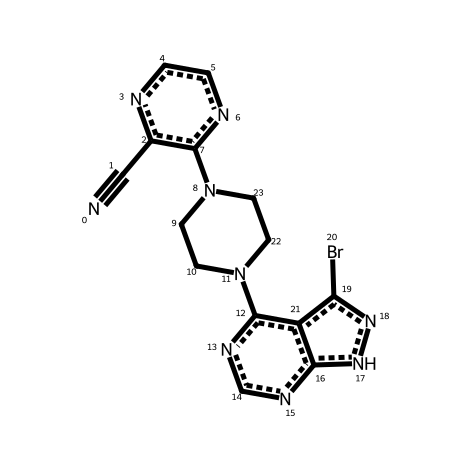 N#Cc1nccnc1N1CCN(c2ncnc3[nH]nc(Br)c23)CC1